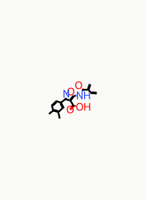 C=CC(=C)C(=O)Nc1onc(-c2ccc(C)c(C)c2)c1C(=O)O